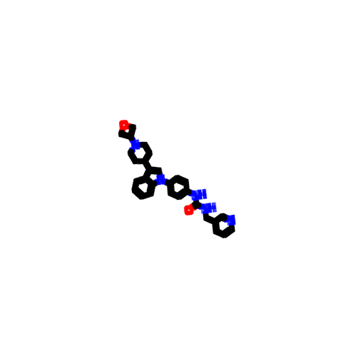 O=C(NCc1cccnc1)Nc1ccc(-n2cc(C3CCN(C4COC4)CC3)c3ccccc32)cc1